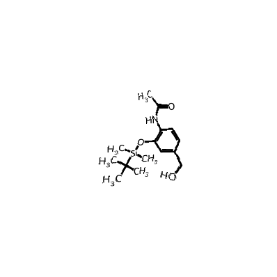 CC(=O)Nc1ccc(CO)cc1O[Si](C)(C)C(C)(C)C